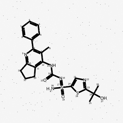 Cc1c(-c2ccccc2)nc2c(c1NC(=O)N=S(N)(=O)c1cnc(C(C)(C)O)s1)CCC2